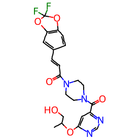 CC(CO)Oc1cc(C(=O)N2CCN(C(=O)/C=C/c3ccc4c(c3)OC(F)(F)O4)CC2)ncn1